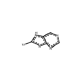 [CH2]Cc1nc2ncncc2[nH]1